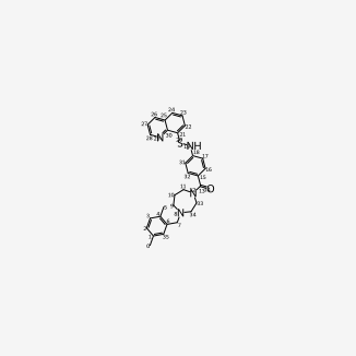 Cc1ccc(C)c(CN2CCCN(C(=O)c3ccc(NSc4cccc5cccnc45)cc3)CC2)c1